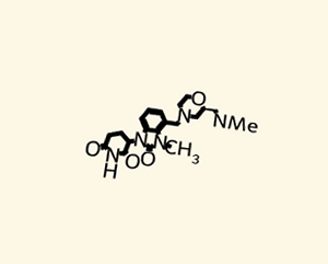 CNC[C@H]1CN(Cc2cccc3c2n(C)c(=O)n3C2CCC(=O)NC2=O)CCO1